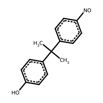 CC(C)(c1ccc(O)cc1)c1ccc(N=O)cc1